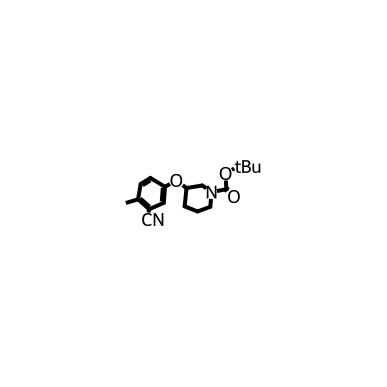 Cc1ccc(OC2CCCN(C(=O)OC(C)(C)C)C2)cc1C#N